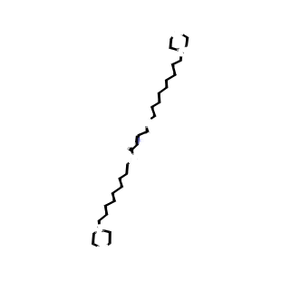 O=C(/C=C/C(=O)OCCCCCCCCCN1CCOCC1)OCCCCCCCCCN1CCOCC1